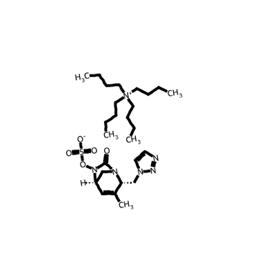 CC1=C[C@@H]2CN(C(=O)N2OS(=O)(=O)[O-])[C@@H]1Cn1ccnn1.CCCC[N+](CCCC)(CCCC)CCCC